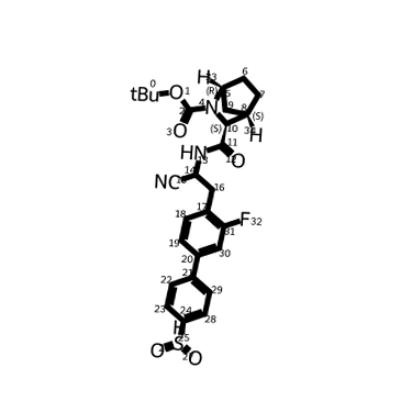 CC(C)(C)OC(=O)N1[C@@H]2CC[C@@H](C2)[C@H]1C(=O)NC(C#N)Cc1ccc(-c2ccc([SH](=O)=O)cc2)cc1F